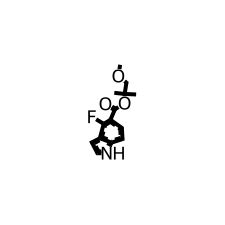 COCC(C)(C)OC(=O)c1ccc2[nH]ccc2c1F